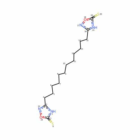 S=c1[nH]c(CCCCCCCCCCCCc2noc(=S)[nH]2)no1